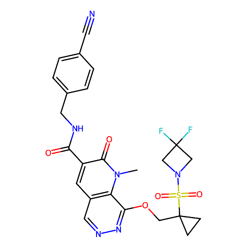 Cn1c(=O)c(C(=O)NCc2ccc(C#N)cc2)cc2cnnc(OCC3(S(=O)(=O)N4CC(F)(F)C4)CC3)c21